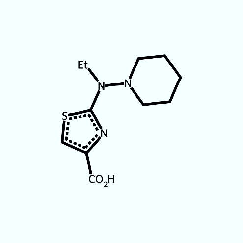 CCN(c1nc(C(=O)O)cs1)N1CCCCC1